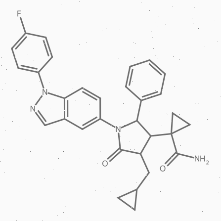 NC(=O)C1(C2C(CC3CC3)C(=O)N(c3ccc4c(cnn4-c4ccc(F)cc4)c3)C2c2ccccc2)CC1